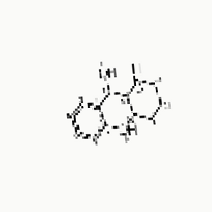 O[C](c1ccccc1O)C1CCCCN1